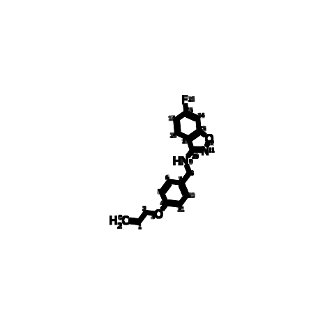 C=CCOc1ccc(CNc2noc3cc(F)ccc23)cc1